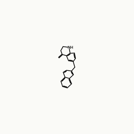 C=C1CCNc2ccc(Cc3ccc4ccccc4c3)cc21